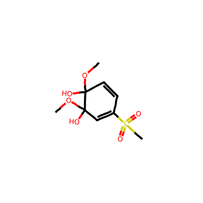 COC1(O)C=CC(S(C)(=O)=O)=CC1(O)OC